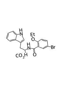 CCOc1ccc(Br)cc1C(=O)NC(Cc1c[nH]c2ccccc12)C(=O)O